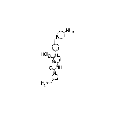 Cl.NCC1CCN(C(=O)Nc2ccn(-c3ccc(CN4CCC(N)CC4)cc3)c(=O)n2)C1